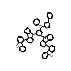 C1=Cc2c(c3ccccc3n2-c2cc(N(c3ccccc3)c3cccc(-c4ccccc4)c3)cc(-n3c4ccccc4c4c(-c5cccc6sc7ccccc7c56)cccc43)c2)C(c2cccc3sc4ccccc4c23)C1